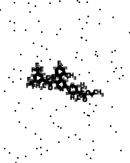 CCOC(=O)C(C)(C)C1CCN(c2cc(-c3ccc(F)cc3C)c(N(C)C(=O)C(C)(C)c3cc(C(F)(F)F)cc(C(F)(F)F)c3)cn2)CC1